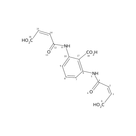 O=C(O)/C=C\C(=O)Nc1cccc(NC(=O)/C=C\C(=O)O)c1C(=O)O